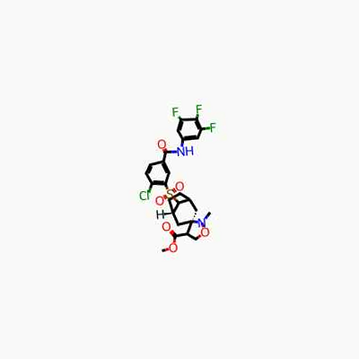 COC(=O)C1CON(C)[C@@]12CC1CC[C@@H](C2)C1S(=O)(=O)c1cc(C(=O)Nc2cc(F)c(F)c(F)c2)ccc1Cl